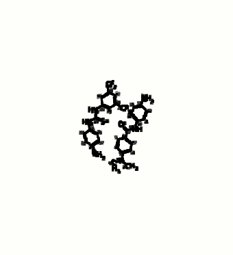 CN(C)c1ccc(C(=O)Nc2ccc(N)cc2)cc1.Nc1ccc(NC(=S)Nc2cc(C(F)(F)F)cc(C(F)(F)F)c2)cc1